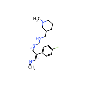 C=N/C=C(\C=N/CNCC1CCCN(C)C1)c1ccc(F)cc1